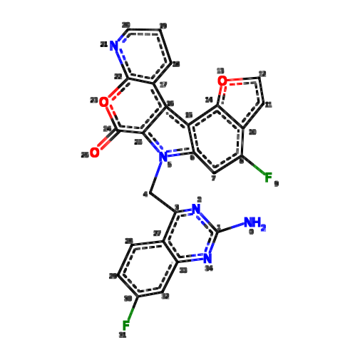 Nc1nc(Cn2c3cc(F)c4ccoc4c3c3c4cccnc4oc(=O)c32)c2ccc(F)cc2n1